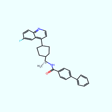 C[C@@H](NC(=O)c1ccc(-c2ccccc2)cc1)C1CCC(c2ccnc3ccc(F)cc23)CC1